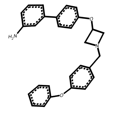 Nc1cccc(-c2ccc(OC3CN(Cc4ccc(Oc5ccccc5)cc4)C3)cc2)c1